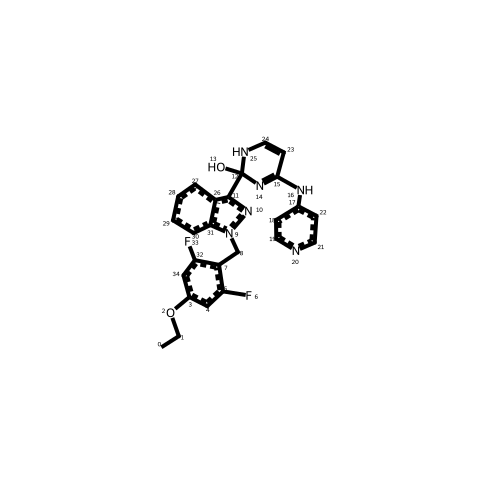 CCOc1cc(F)c(Cn2nc(C3(O)N=C(Nc4ccncc4)C=CN3)c3ccccc32)c(F)c1